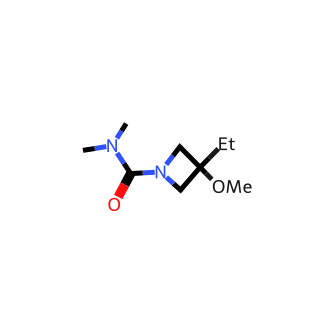 CCC1(OC)CN(C(=O)N(C)C)C1